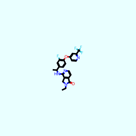 CCN1Cc2c(ccnc2NC(C)c2ccc(Oc3ccnc(C(F)(F)F)c3)c(F)c2)C1=O